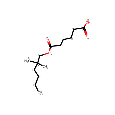 CCCCC(C)(C)COC(=O)CCCCC(=O)O